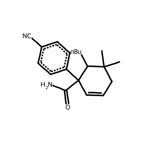 CCCCC1C(C)(C)CC=CC1(C(N)=O)c1ccc(C#N)cc1